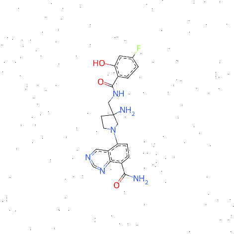 NC(=O)c1ccc(N2CCC(N)(CNC(=O)c3ccc(F)cc3O)C2)c2cncnc12